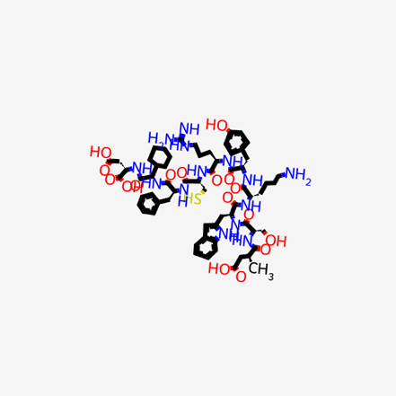 C[C@@H](CC(=O)O)C(=O)N[C@@H](CO)C(=O)N[C@@H](Cc1cc2ccccc2[nH]1)C(=O)N[C@@H](CCCCN)C(=O)N[C@@H](Cc1ccc(O)cc1)C(=O)N[C@H](CCCNC(=N)N)C(=O)N[C@H](CS)C(=O)N[C@@H](Cc1ccccc1)C(=O)N[C@H](C(=O)N[C@@H](CC(=O)O)C(=O)O)C1CCCCC1